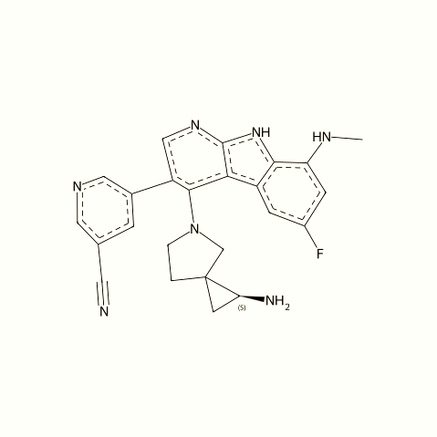 CNc1cc(F)cc2c1[nH]c1ncc(-c3cncc(C#N)c3)c(N3CCC4(C[C@@H]4N)C3)c12